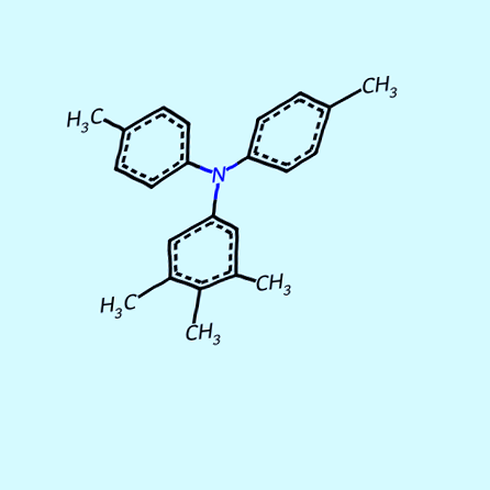 Cc1ccc(N(c2ccc(C)cc2)c2cc(C)c(C)c(C)c2)cc1